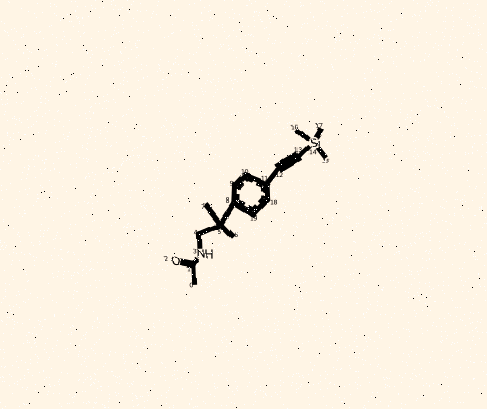 CC(=O)NCC(C)(C)c1ccc(C#C[Si](C)(C)C)cc1